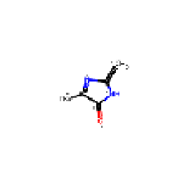 C=C1N=C(C(C)(C)C)C(=O)N1